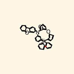 Clc1c2cccc1N(c1ccc3c(c1)oc1ccccc13)c1cccc(c1)[Si](c1ccccc1)(c1ccccc1)c1cccc(c1)O2